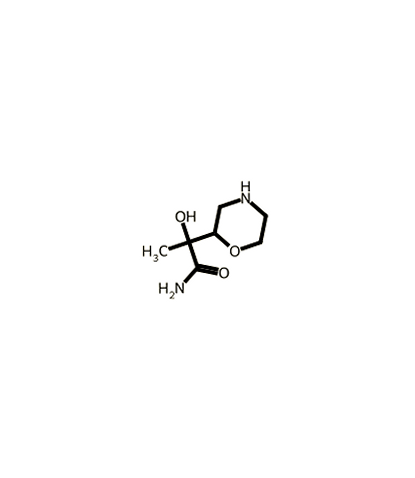 CC(O)(C(N)=O)C1CNCCO1